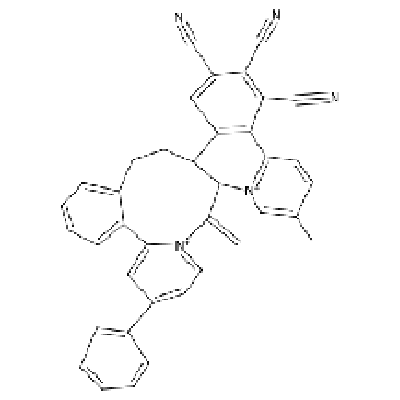 C=C1C2C(CCc3ccccc3-c3cc(-c4ccccc4)cc[n+]31)c1cc(C#N)c(C#N)c(C#N)c1-c1ccc(C)c[n+]12